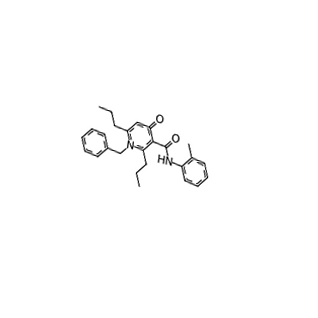 CCCc1cc(=O)c(C(=O)Nc2ccccc2C)c(CCC)n1Cc1ccccc1